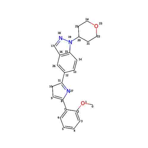 COc1ccccc1C1=CCC(c2ccc3c(cnn3C3CCOCC3)c2)=N1